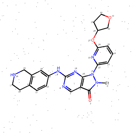 CCn1c(=O)c2cnc(Nc3ccc4c(c3)CNCC4)nc2n1-c1cccc(OC2CCOC2)n1